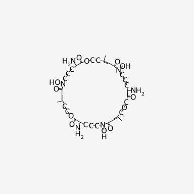 C/C1=C/C(=O)N(O)CCCC(N)C(=O)COC/C(C)=C\C(=O)N(O)CCCC(N)C(=O)OCC/C(C)=C\C(=O)N(O)CCCC(N)C(=O)OCC1